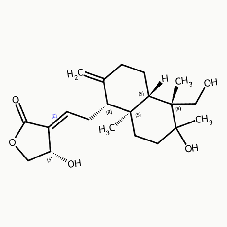 C=C1CC[C@H]2[C@@](C)(CCC(C)(O)[C@@]2(C)CO)[C@@H]1C/C=C1/C(=O)OC[C@H]1O